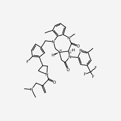 C=C(CN(C)C)C(=O)N1CC(c2cc(CN3C[C@H]4CC(=O)N(c5cc(C(F)(F)F)cc(C)n5)[C@@H]4C(=O)N(C)c4cccc(C)c43)ccc2F)C1